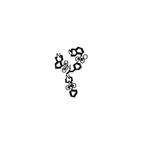 CN(C(Cc1ccc(OS(=O)(=O)c2cccc3cnccc23)cc1)CN1CCN(S(=O)(=O)c2ccccc2)CC1)S(=O)(=O)c1cccc2cnccc12